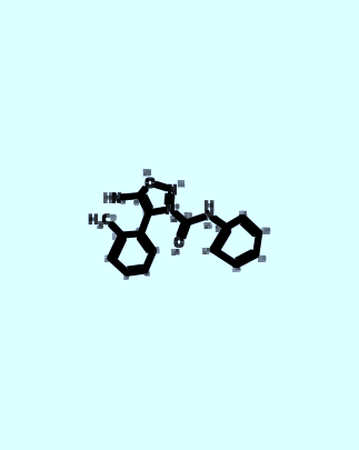 Cc1ccccc1-c1c([NH-])on[n+]1C(=O)Nc1ccccc1